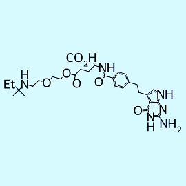 CCC(C)(C)NCCOCCOC(=O)CC[C@H](NC(=O)c1ccc(CCc2c[nH]c3nc(N)[nH]c(=O)c23)cc1)C(=O)O